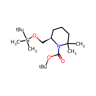 CC(C)(C)OC(=O)N1[C@@H](CO[Si](C)(C)C(C)(C)C)CCCC1(C)C